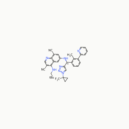 Cc1c(-c2ccccn2)cccc1[C@H](Nc1cc(C#N)c2ncc(C#N)c(NCC(C)(C)C)c2c1)c1cn(C2(C(F)(F)F)CC2)nn1